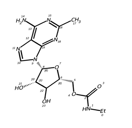 CCNC(=O)OC[C@H]1O[C@@H](n2cnc3c(N)nc(C)nc32)[C@@H](O)C1O